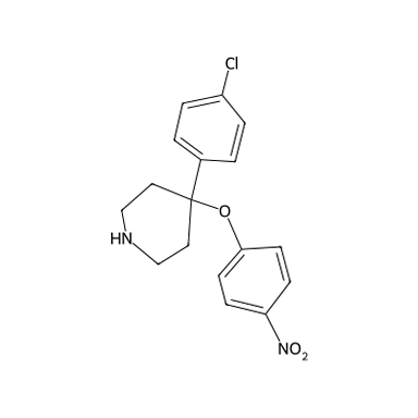 O=[N+]([O-])c1ccc(OC2(c3ccc(Cl)cc3)CCNCC2)cc1